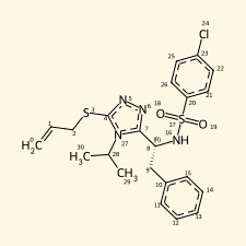 C=CCSc1nnc([C@@H](Cc2ccccc2)NS(=O)(=O)c2ccc(Cl)cc2)n1C(C)C